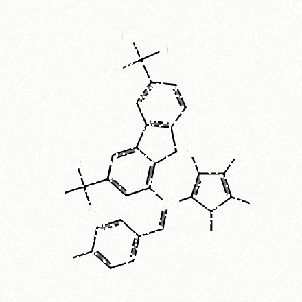 CC1=C(C)C(C)[C](/[Zr+2](=[CH]/c2ccc(C)cc2)[c]2cc(C(C)(C)C)cc3c2Cc2ccc(C(C)(C)C)cc2-3)=C1C.[Cl-].[Cl-]